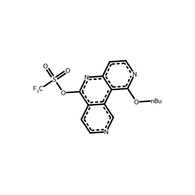 CCCCOc1nccc2nc(OS(=O)(=O)C(F)(F)F)c3ccncc3c12